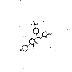 O=C1CC[C@H](/C=C(\c2ccc(C(F)(F)F)cc2)c2ccc(C3=CCNCC3)c(=O)[nH]2)N1